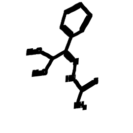 COC(OC)C(=NNC(N)=S)c1ccccc1